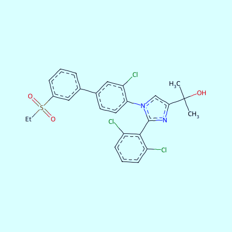 CCS(=O)(=O)c1cccc(-c2ccc(-n3cc(C(C)(C)O)nc3-c3c(Cl)cccc3Cl)c(Cl)c2)c1